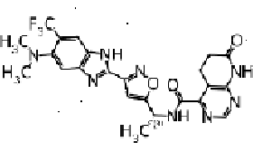 C[C@@H](NC(=O)c1ncnc2c1CCC(=O)N2)c1cc(-c2nc3cc(N(C)C)c(C(F)(F)F)cc3[nH]2)no1